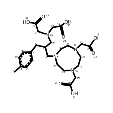 Cc1ccc(CC(CN2CCN(CC(=O)O)CCN(CC(=O)O)CC2)CN(CC(=O)O)CC(=O)O)cc1